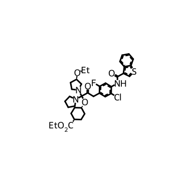 CCOC(=O)[C@H]1CC[C@H](OC(C(=O)Cc2cc(Cl)c(NC(=O)c3csc4ccccc34)cc2F)(N2CCCC2)N2CC[C@@H](OCC)C2)CC1